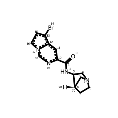 O=C(NC1CN2CC[C@H]1C2)c1cc2c(Br)ccn2cn1